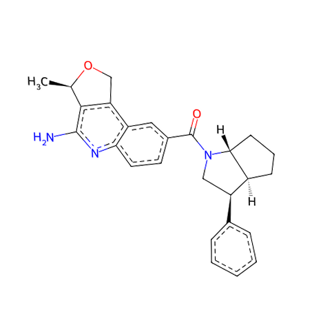 C[C@H]1OCc2c1c(N)nc1ccc(C(=O)N3C[C@H](c4ccccc4)[C@@H]4CCC[C@H]43)cc21